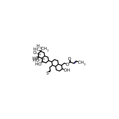 C/C=C/C(=O)OCC1C(O)CCC2C1CCC(C1CC3CC(C)(C)[C@@H](O)[C@H](O)[C@]3(CO)[C@H](O)C1)C2CC=S